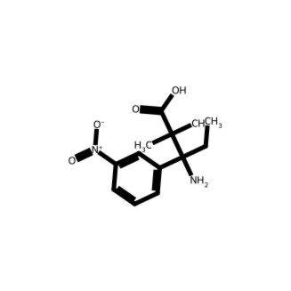 CCC(N)(c1cccc([N+](=O)[O-])c1)C(C)(C)C(=O)O